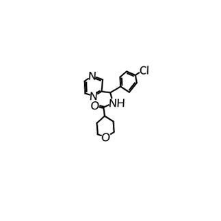 O=C(NC(c1ccc(Cl)cc1)c1cnccn1)C1CCOCC1